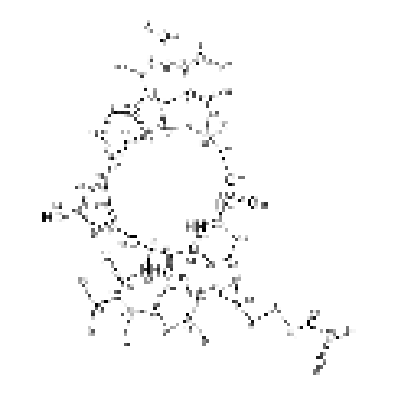 CCn1c(-c2cccnc2[C@H](C)OC)c2c3cc(ccc31)-c1cc(O)cc(c1)C[C@H](NC(=O)[C@H](C(C)C)N(C)C(=O)CN(C)C(=O)[C@@H]1CN1CCCOC(C)=O)C(=O)N1CCC[C@H](N1)C(=O)OCC(C)(C)C2